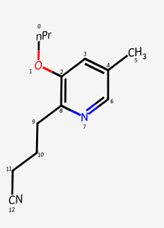 CCCOc1cc(C)cnc1CCCC#N